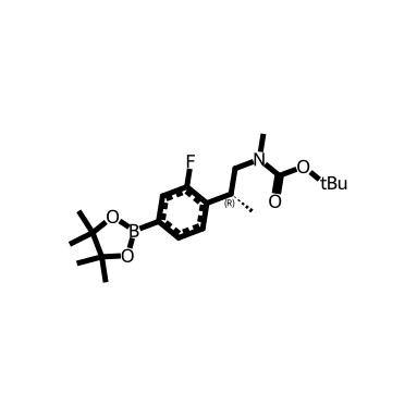 C[C@@H](CN(C)C(=O)OC(C)(C)C)c1ccc(B2OC(C)(C)C(C)(C)O2)cc1F